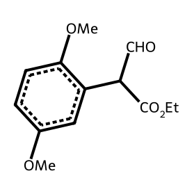 CCOC(=O)C(C=O)c1cc(OC)ccc1OC